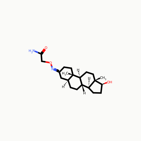 C[C@]12CC/C(=N\OCC(N)=O)C[C@@H]1CC[C@@H]1[C@@H]2CC[C@]2(C)[C@@H](O)CC[C@@H]12